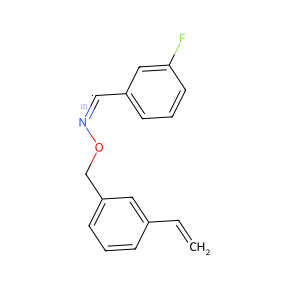 C=Cc1cccc(CO/N=[C]\c2cccc(F)c2)c1